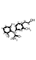 Cc1nc(N(C(N)=O)c2c(F)cccc2F)ccc1CCO